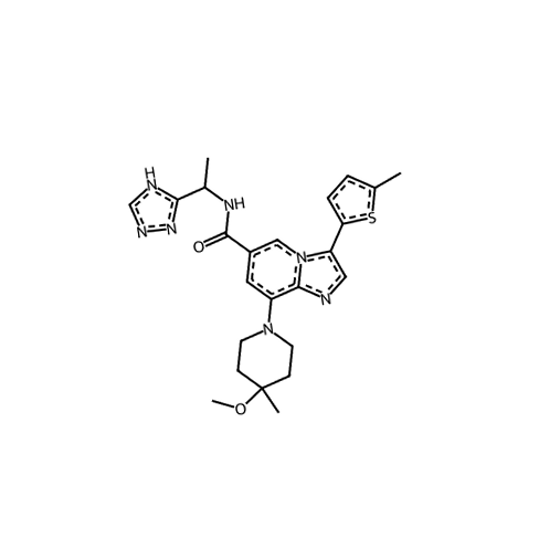 COC1(C)CCN(c2cc(C(=O)NC(C)c3nnc[nH]3)cn3c(-c4ccc(C)s4)cnc23)CC1